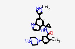 Cc1ccc(N2CCNCC2)cc1C(=O)NC1(c2cc(-c3cnn(C)c3)cc3ncccc23)CC1